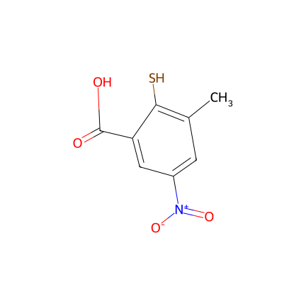 Cc1cc([N+](=O)[O-])cc(C(=O)O)c1S